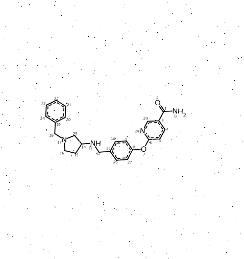 NC(=O)c1ccc(Oc2ccc(CNC3CCN(Cc4ccccc4)C3)cc2)nc1